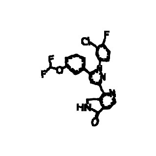 O=C1NCc2c1ccnc2-c1cc(-c2cccc(OC(F)F)c2)n(-c2ccc(F)c(Cl)c2)n1